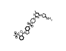 Cc1cc(N2CC[C@@H](N)C2)nc(N2CCN(S(=O)(=O)c3ccc4c(c3)CCN4C(=O)c3ccccc3N(C)S(C)(=O)=O)CC2)n1